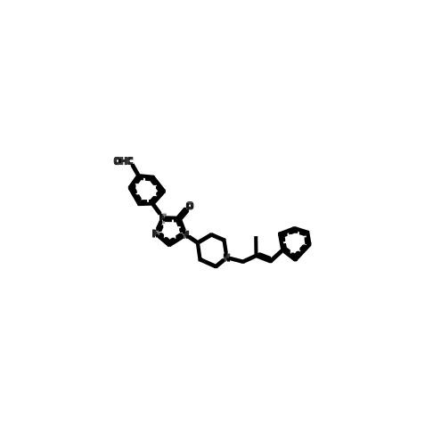 C/C(=C\c1ccccc1)CN1CCC(n2cnn(-c3ccc(C=O)cc3)c2=O)CC1